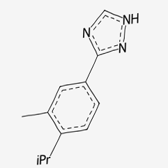 Cc1cc(-c2nc[nH]n2)ccc1C(C)C